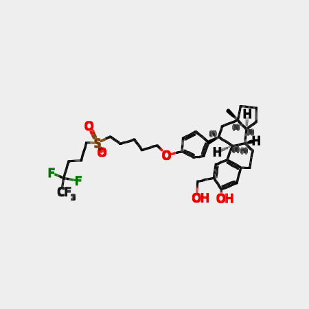 C[C@@]12CCC[C@H]1[C@@H]1CCc3cc(O)c(CO)cc3[C@H]1[C@@H](c1ccc(OCCCCCS(=O)(=O)CCCC(F)(F)C(F)(F)F)cc1)C2